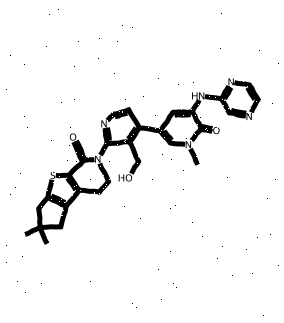 Cn1cc(-c2ccnc(N3CCc4c(sc5c4CC(C)(C)C5)C3=O)c2CO)cc(Nc2cnccn2)c1=O